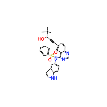 CC(C)(C)C(O)C#Cc1ccc2ncnc(N(c3ccc4[nH]ccc4c3)S(=O)(=O)c3ccccc3)c2c1